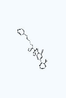 O=C(CCCCCc1ccccc1)c1nc2c(F)cc(-c3ccccc3F)cc2o1